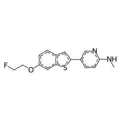 CNc1ccc(-c2cc3ccc(OCCF)cc3s2)cn1